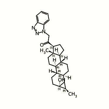 C[C@@H]1C2[C@@H]3CC[C@@H]4[C@H](CC[C@]5(C)[C@@H](C(=O)Cn6nnc7ccccc76)CC[C@@H]45)[C@H]3CC[C@@]21O